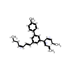 C=C/C=C(\C=C/CC)c1cc(C=C/C=C\CCC)cc(-c2ccc(C)cc2)c1